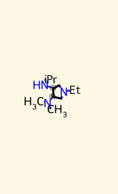 CCN1C[C@H](NC(C)C)[C@H](N(C)C)C1